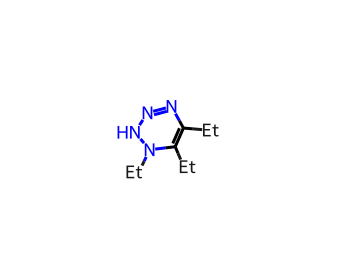 CCC1=C(CC)N(CC)NN=N1